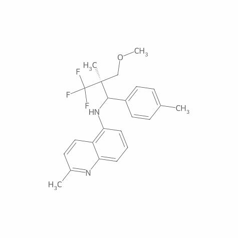 COC[C@@](C)(C(Nc1cccc2nc(C)ccc12)c1ccc(C)cc1)C(F)(F)F